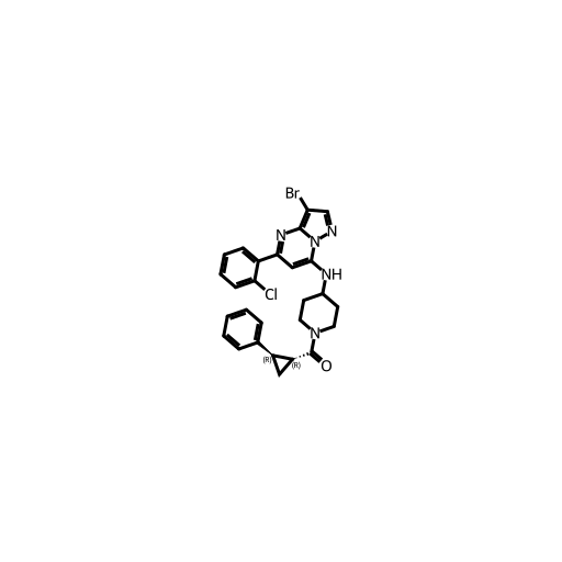 O=C([C@@H]1C[C@H]1c1ccccc1)N1CCC(Nc2cc(-c3ccccc3Cl)nc3c(Br)cnn23)CC1